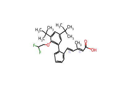 CC(/C=C/c1ccccc1-c1cc(C(C)(C)C)cc(C(C)(C)C)c1OCC(F)F)=C\C(=O)O